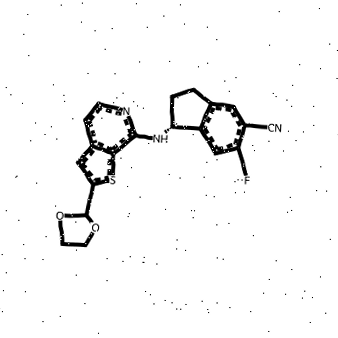 N#Cc1cc2c(cc1F)[C@H](Nc1nccc3cc(C4OCCO4)sc13)CC2